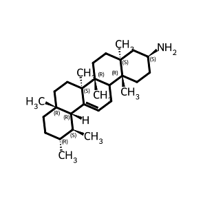 C[C@H]1[C@H](C)CC[C@]2(C)CC[C@]3(C)C(=CCC4[C@@]5(C)CC[C@H](N)C[C@]5(C)CC[C@]43C)[C@H]12